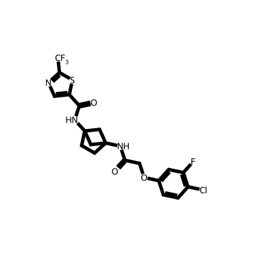 O=C(COc1ccc(Cl)c(F)c1)NC12CCC(NC(=O)c3cnc(C(F)(F)F)s3)(C1)C2